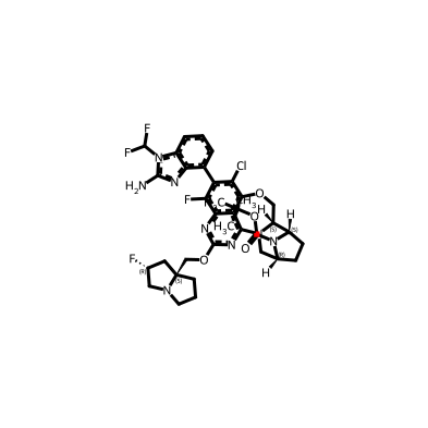 CC(C)(C)OC(=O)N1[C@@H]2CC[C@H]1[C@H]1COc3c(Cl)c(-c4cccc5c4nc(N)n5C(F)F)c(F)c4nc(OC[C@@]56CCCN5C[C@H](F)C6)nc(c34)N1C2